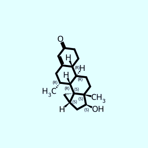 C[C@@H]1CC2=CC(=O)CC[C@@H]2[C@H]2CC[C@]3(C)[C@@H](O)C[C@@H]4C[C@@]43[C@@H]21